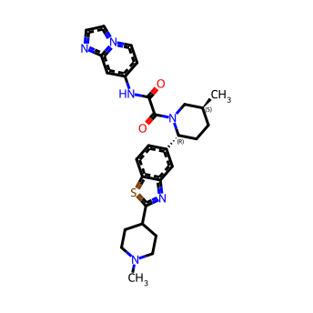 C[C@H]1CC[C@H](c2ccc3sc(C4CCN(C)CC4)nc3c2)N(C(=O)C(=O)Nc2ccn3ccnc3c2)C1